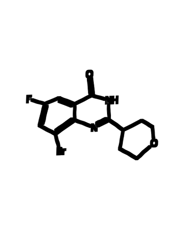 O=c1[nH]c(C2CCOCC2)nc2c(Br)cc(F)cc12